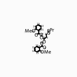 [CH2]CCOCC[C](OOC(=O)c1ccccc1OC)OOC(=O)c1ccccc1OC